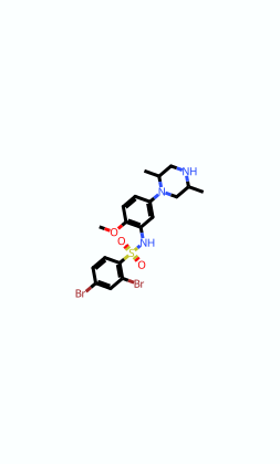 COc1ccc(N2CC(C)NCC2C)cc1NS(=O)(=O)c1ccc(Br)cc1Br